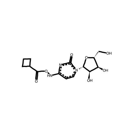 O=C(ONc1ccn([C@@H]2O[C@H](CO)[C@@H](O)[C@H]2O)c(=O)n1)C1CCC1